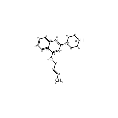 C/C=C/COc1nc(N2CCNCC2)nc2ccccc12